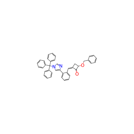 O=C1C(=Cc2ccccc2-c2cn(C(c3ccccc3)(c3ccccc3)c3ccccc3)cn2)CC1OCc1ccccc1